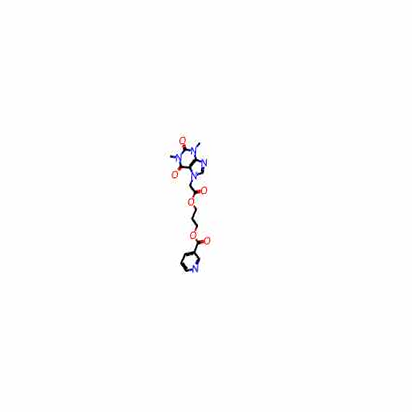 Cn1c(=O)c2c(ncn2CC(=O)OCCCOC(=O)c2cccnc2)n(C)c1=O